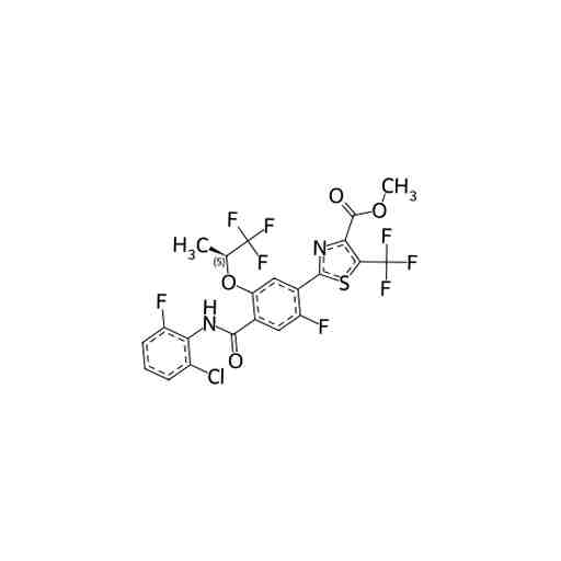 COC(=O)c1nc(-c2cc(O[C@@H](C)C(F)(F)F)c(C(=O)Nc3c(F)cccc3Cl)cc2F)sc1C(F)(F)F